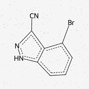 N#Cc1n[nH]c2cccc(Br)c12